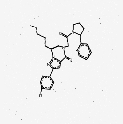 CCCCCC1CN(CC(=O)N2CCCC2c2ccccc2)C(=O)c2cc(-c3ccc(Cl)cc3)nn21